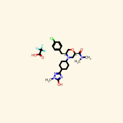 CN(C)C(=O)[C@H]1CN(C2CCC(c3nc(O)n(C)n3)CC2)[C@@H](Cc2ccc(Cl)cc2)CO1.O=C(O)C(F)(F)F